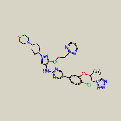 CC(Cn1cnnn1)Oc1cc(-c2cnc(Nc3cn(C4CCC(N5CCOCC5)CC4)nc3OCCc3ncccn3)nc2)ccc1Cl